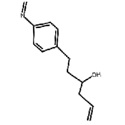 C=CCC(O)CCc1ccc(N=O)cc1